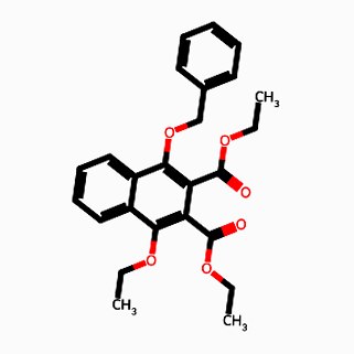 CCOC(=O)c1c(C(=O)OCC)c(OCc2ccccc2)c2ccccc2c1OCC